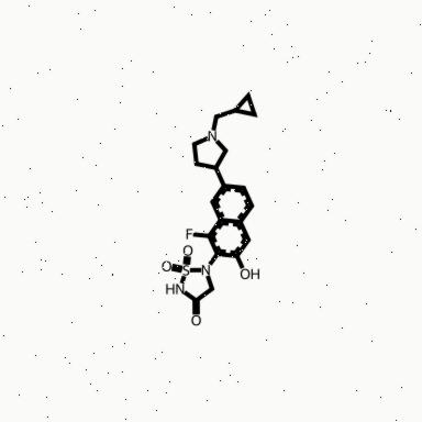 O=C1CN(c2c(O)cc3ccc(C4CCN(CC5CC5)C4)cc3c2F)S(=O)(=O)N1